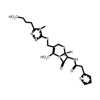 Cn1c(CCCC(=O)O)nnc1SCC1=C(C(=O)O)N2C(=O)C(NC(=O)Cc3cccs3)[C@H]2SC1